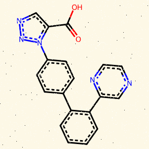 O=C(O)c1cnnn1-c1ccc(-c2ccccc2-c2cnccn2)cc1